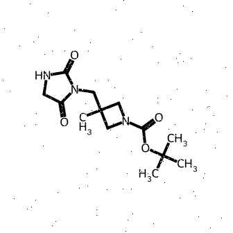 CC1(CN2C(=O)CNC2=O)CN(C(=O)OC(C)(C)C)C1